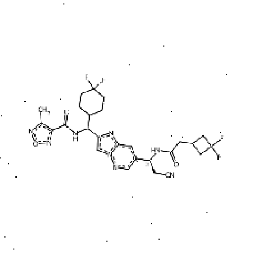 Cc1nonc1C(=O)NC(c1cn2ncc([C@H](CC#N)NC(=O)CC3CC(F)(F)C3)cc2n1)C1CCC(F)(F)CC1